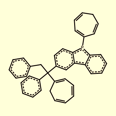 C1=CC=C(C(Cc2ccccc2)(c2ccccc2)c2ccc3c(c2)c2ccccc2p3C2=CC=CCC=C2)CC=C1